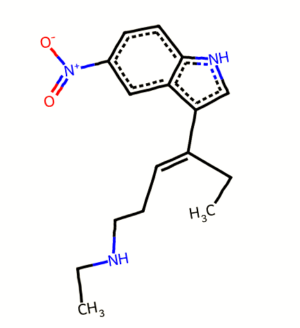 CCNCCC=C(CC)c1c[nH]c2ccc([N+](=O)[O-])cc12